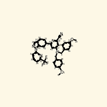 COc1ccc(CN(Cc2ccc(OC)cc2)c2cc(C#N)nc(-c3ccc4cnn(-c5cccc(C(F)(F)F)n5)c4c3)c2)cc1